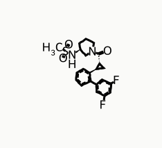 CS(=O)(=O)N[C@H]1CCCN(C(=O)[C@@H]2C[C@H]2c2ccccc2-c2cc(F)cc(F)c2)C1